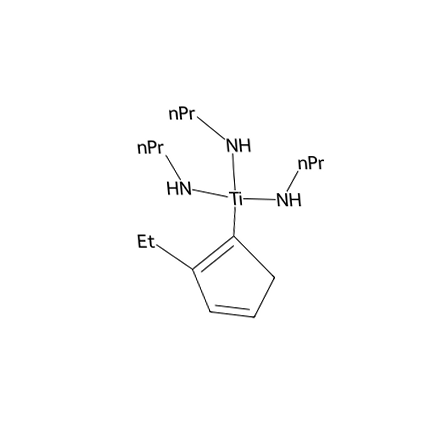 CCC[NH][Ti]([NH]CCC)([NH]CCC)[C]1=C(CC)C=CC1